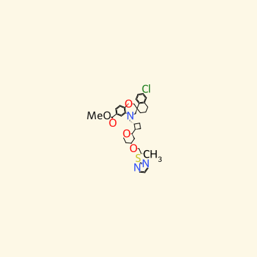 COC(=O)c1ccc2c(c1)N(C[C@@H]1CC[C@H]1[C@H]1C[C@H](OC[C@H](C)Sc3ncccn3)CCO1)C[C@@]1(CCCc3cc(Cl)ccc31)CO2